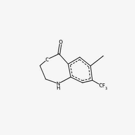 Cc1cc2c(cc1C(F)(F)F)NCCCC2=O